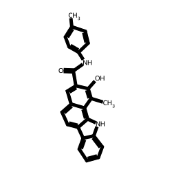 Cc1ccc(NC(=O)c2cc3ccc4c5ccccc5[nH]c4c3c(C)c2O)cc1